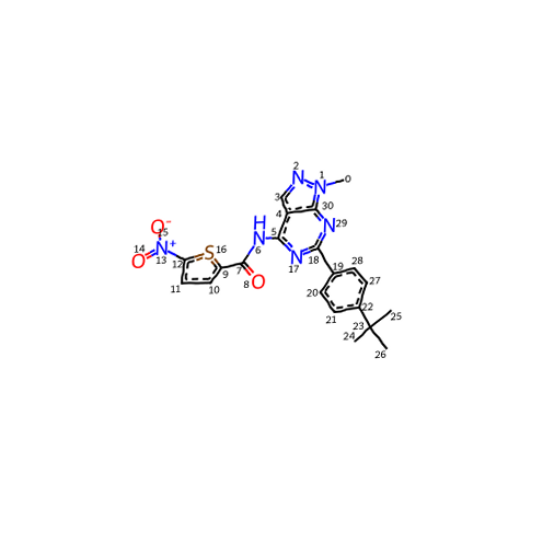 Cn1ncc2c(NC(=O)c3ccc([N+](=O)[O-])s3)nc(-c3ccc(C(C)(C)C)cc3)nc21